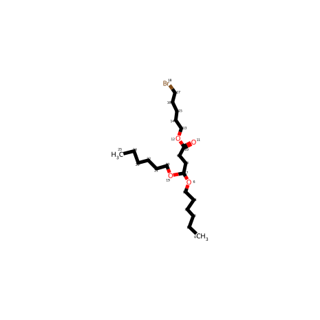 CCCCCCOC(CCC(=O)OCCCCCBr)OCCCCCC